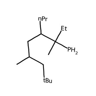 CCCC(CC(C)CC(C)(C)C)C(C)(P)CC